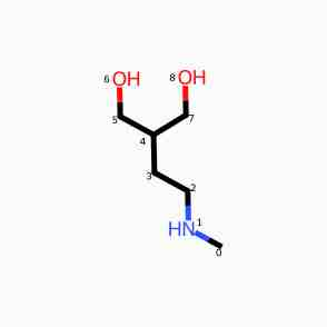 CNCCC(CO)CO